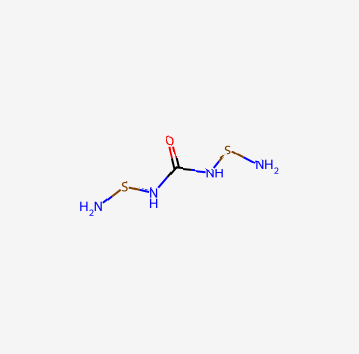 NSNC(=O)NSN